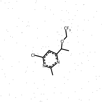 Cc1nc(Cl)cc(C(C)OCC(F)(F)F)n1